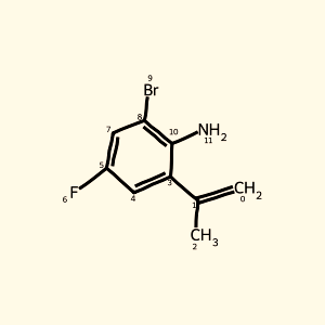 C=C(C)c1cc(F)cc(Br)c1N